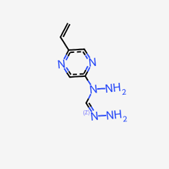 C=Cc1cnc(N(N)/C=N\N)cn1